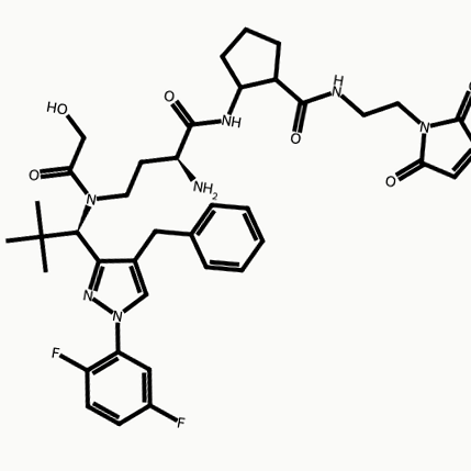 CC(C)(C)[C@H](c1nn(-c2cc(F)ccc2F)cc1Cc1ccccc1)N(CC[C@H](N)C(=O)NC1CCCC1C(=O)NCCN1C(=O)C=CC1=O)C(=O)CO